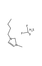 CCCCN1C=CN(C)C1.FC(F)F.S